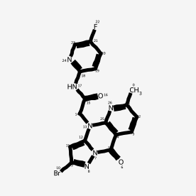 Cc1ccc2c(=O)n3nc(Br)cc3n(CC(=O)Nc3ccc(F)cn3)c2n1